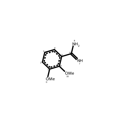 COc1cccc(C(=N)N)c1OC